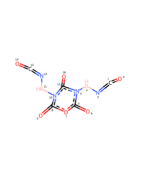 O=C=NBn1c(=O)oc(=O)n(BN=C=O)c1=O